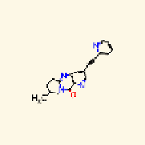 CC1CCc2nc3cc(C#Cc4ccccn4)cnc3c(=O)n2C1